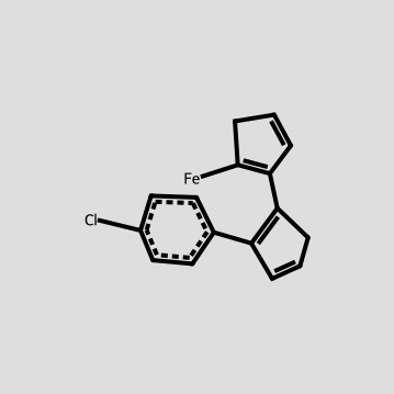 Clc1ccc(C2=C(C3=[C]([Fe])CC=C3)CC=C2)cc1